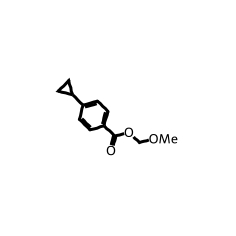 COCOC(=O)c1ccc(C2CC2)cc1